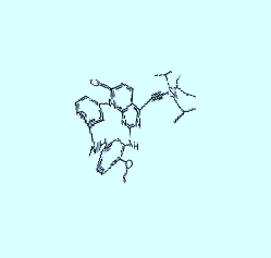 COc1ccccc1Nc1nc(C#C[Si](C(C)C)(C(C)C)C(C)C)c2ccc(=O)n(-c3cccc(N)c3)c2n1